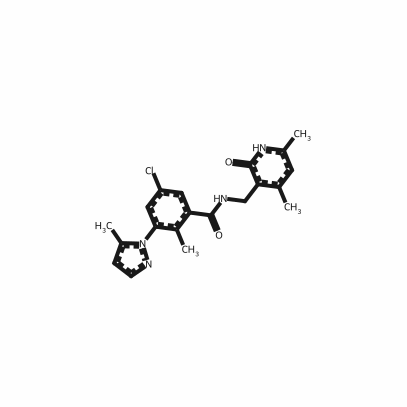 Cc1cc(C)c(CNC(=O)c2cc(Cl)cc(-n3nccc3C)c2C)c(=O)[nH]1